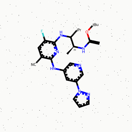 C=C(N[C@@H](C)C(Nc1nc(Nc2cncc(-n3cccn3)c2)c(C#N)cc1F)C(C)C)OC(C)(C)C